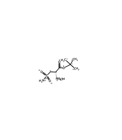 CC(C)(C)OC(=O)[C@H](N)CS(N)(=O)=O.Cl